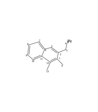 Cc1c(CC(C)C)cc2ccccc2c1C